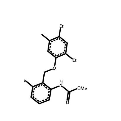 CCc1cc(CC)c(OCc2c(I)cccc2NC(=O)OC)cc1C